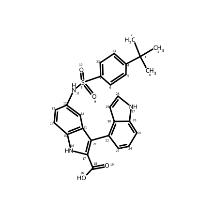 CC(C)(C)c1ccc(S(=O)(=O)Nc2ccc3[nH]c(C(=O)O)c(-c4cccc5[nH]ccc45)c3c2)cc1